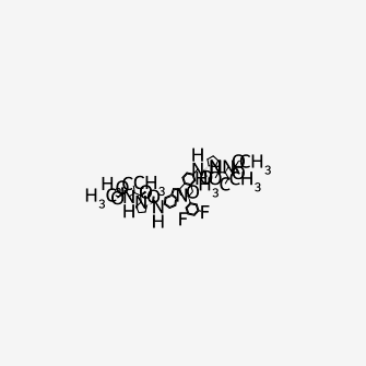 COC(=O)N[C@@H](C(C)C)C(O)N1CCC[C@H]1C(=O)Nc1ccc2c(c1)O[C@@H](c1cc(F)cc(F)c1)n1c-2cc2cc(NC(=O)[C@@H]3CCCN3C(=O)[C@@H](NC(=O)OC)C(C)C)ccc21